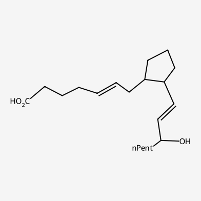 CCCCCC(O)C=CC1CCCC1CC=CCCCC(=O)O